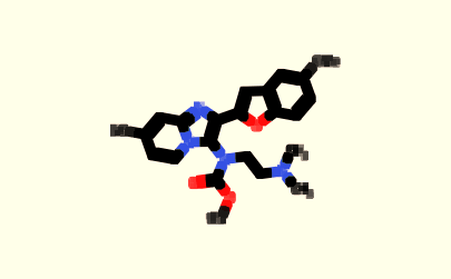 COc1ccc2oc(-c3nc4cc(C#N)ccn4c3N(CCN(C)C)C(=O)OC(C)(C)C)cc2c1